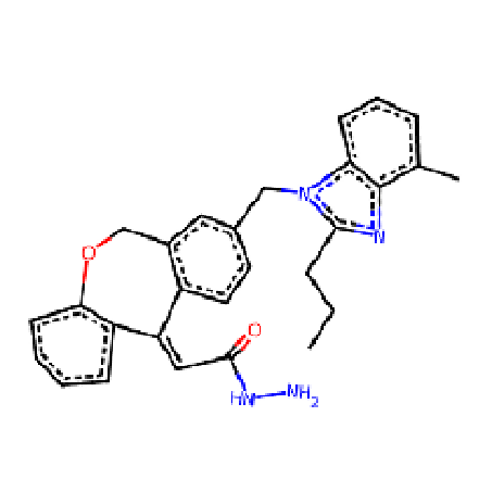 CCCc1nc2c(C)cccc2n1Cc1ccc2c(c1)COc1ccccc1/C2=C/C(=O)NN